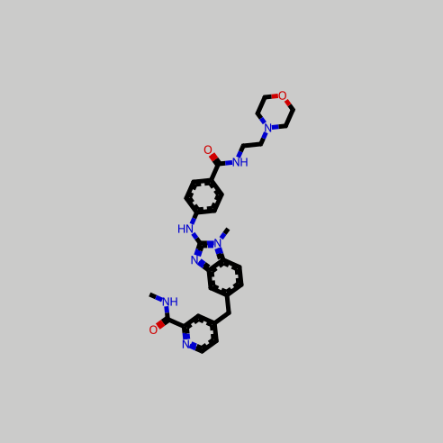 CNC(=O)c1cc(Cc2ccc3c(c2)nc(Nc2ccc(C(=O)NCCN4CCOCC4)cc2)n3C)ccn1